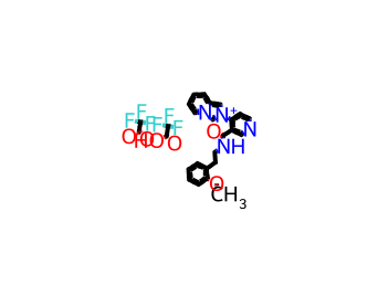 COc1ccccc1CCNC(=O)c1cnccc1-[n+]1cc2ccccn2c1.O=C(O)C(F)(F)F.O=C([O-])C(F)(F)F